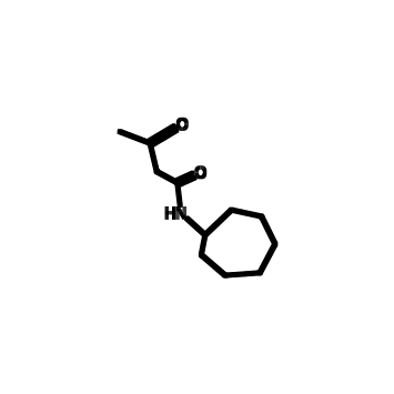 CC(=O)CC(=O)NC1CCCCCC1